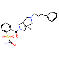 NC(=O)S(=O)(=O)c1ccccc1C(=O)N1CC2CN(CC[CH]c3ccccc3)C[C@H]2C1